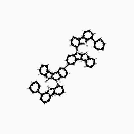 c1ccc(-c2cccc3c2oc2c(-n4c5ccc(-c6ccc7c(c6)c6c8ccccc8oc6n7-c6cccc7c6oc6c(-c8ccccc8)cccc67)cc5c5c6ccccc6oc54)cccc23)cc1